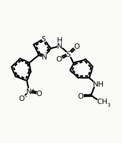 CC(=O)Nc1ccc(S(=O)(=O)Nc2nc(-c3cccc([N+](=O)[O-])c3)cs2)cc1